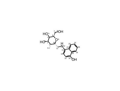 C[C@@H]1[C@@H](O)[C@@H](O)[C@@H](CO)O[C@@H]1CNc1ccc(O)c2ccccc12